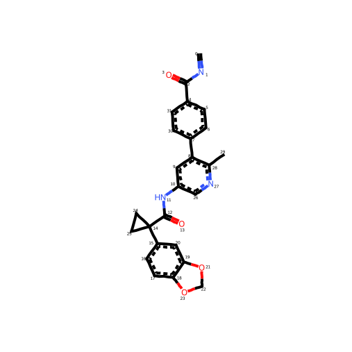 C=NC(=O)c1ccc(-c2cc(NC(=O)C3(c4ccc5c(c4)OCO5)CC3)cnc2C)cc1